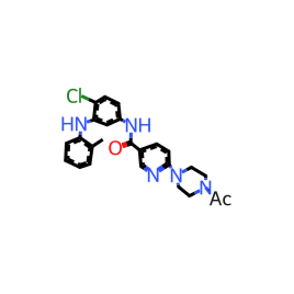 CC(=O)N1CCN(c2ccc(C(=O)Nc3ccc(Cl)c(Nc4ccccc4C)c3)cn2)CC1